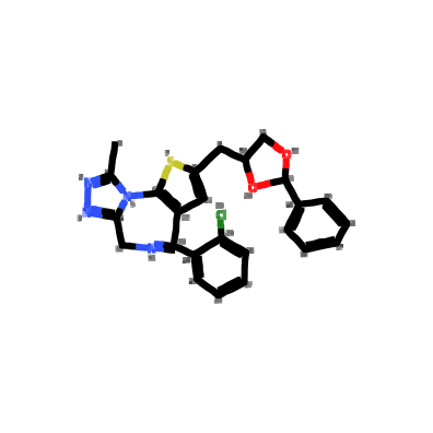 Cc1nnc2n1-c1sc(CC3COC(c4ccccc4)O3)cc1C(c1ccccc1Cl)=NC2